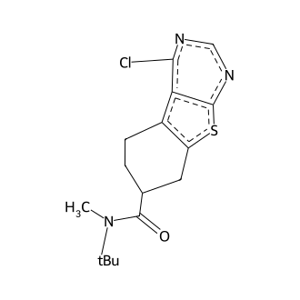 CN(C(=O)C1CCc2c(sc3ncnc(Cl)c23)C1)C(C)(C)C